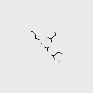 CCC[SiH2]OC(OC(C)CC)OC(C)CC